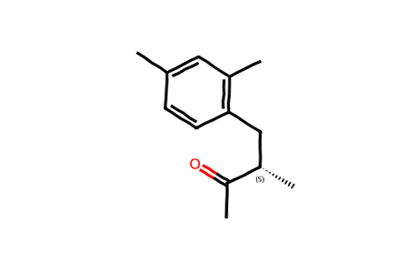 CC(=O)[C@@H](C)Cc1ccc(C)cc1C